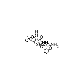 CC(=O)OCC1=C(C(=O)O)N2C(=O)C(NC(=O)C(OC(N)=O)c3ccccc3)[C@@H]2SC1